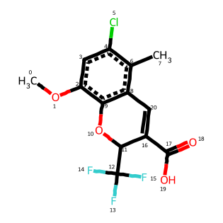 COc1cc(Cl)c(C)c2c1OC(C(F)(F)F)C(C(=O)O)=C2